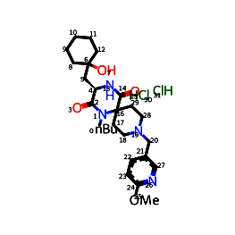 CCCCN1C(=O)[C@@H](CC2(O)CCCCC2)NC(=O)C12CCN(Cc1ccc(OC)nc1)CC2.Cl.Cl